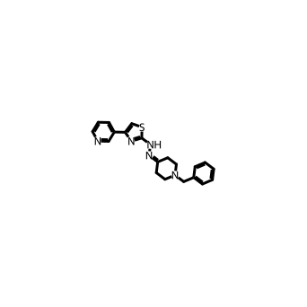 c1ccc(CN2CCC(=NNc3nc(-c4cccnc4)cs3)CC2)cc1